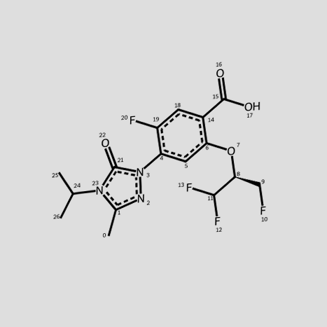 Cc1nn(-c2cc(O[C@@H](CF)C(F)F)c(C(=O)O)cc2F)c(=O)n1C(C)C